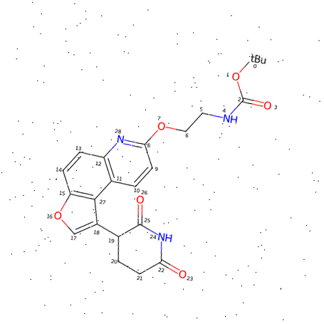 CC(C)(C)OC(=O)NCCOc1ccc2c(ccc3occ(C4CCC(=O)NC4=O)c32)n1